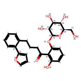 O=C(CCCc1ccccc1-c1ccco1)c1c(O)cccc1O[C@@H]1O[C@H](CO)[C@@H](O)[C@H](O)[C@H]1O